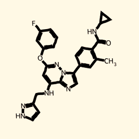 Cc1cc(-c2cnc3c(NCc4cc[nH]n4)cc(Oc4cccc(F)c4)nn23)ccc1C(=O)NC1CC1